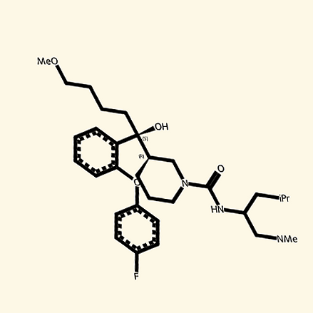 CNCC(CC(C)C)NC(=O)N1CCC[C@@H]([C@@](O)(CCCCOC)c2ccccc2Oc2ccc(F)cc2)C1